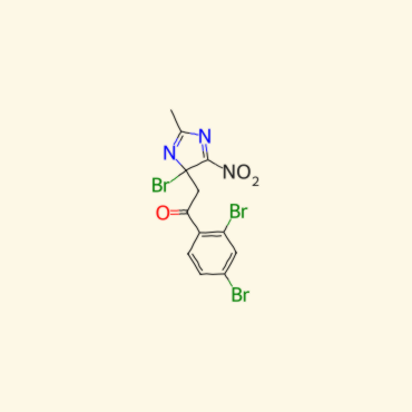 CC1=NC(Br)(CC(=O)c2ccc(Br)cc2Br)C([N+](=O)[O-])=N1